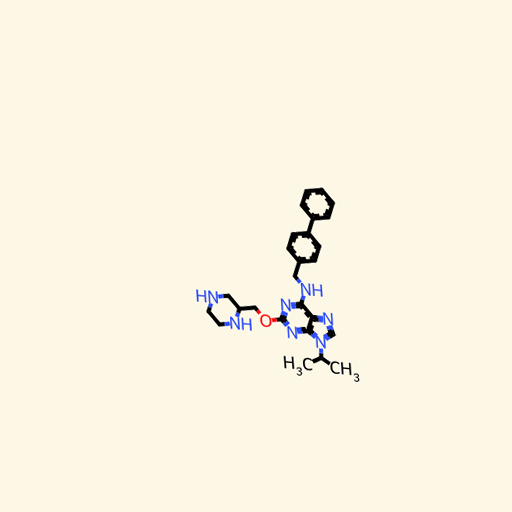 CC(C)n1cnc2c(NCc3ccc(-c4ccccc4)cc3)nc(OCC3CNCCN3)nc21